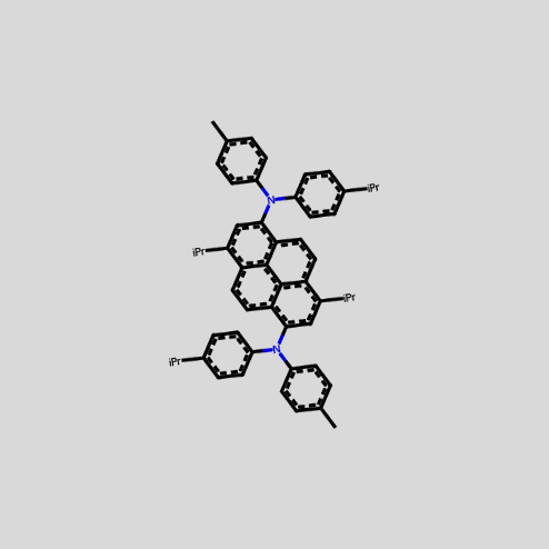 Cc1ccc(N(c2ccc(C(C)C)cc2)c2cc(C(C)C)c3ccc4c(N(c5ccc(C)cc5)c5ccc(C(C)C)cc5)cc(C(C)C)c5ccc2c3c54)cc1